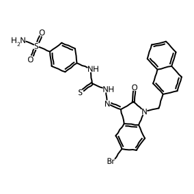 NS(=O)(=O)c1ccc(NC(=S)NN=C2C(=O)N(Cc3ccc4ccccc4c3)c3ccc(Br)cc32)cc1